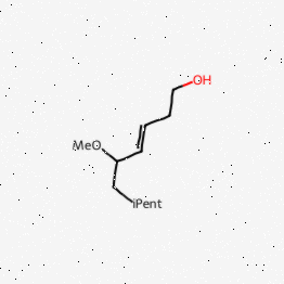 CCCC(C)CC(C=CCCO)OC